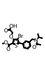 COC(=O)c1sc(-c2cccc(CN(C(C)=O)C(C)C)c2)c(Br)c1OCC(=O)O